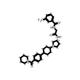 O=C(CNC(=O)c1cccc(C(F)(F)F)c1)N[C@@H]1CCN(C2CCC(c3ccc(C(=O)N4CCCCC4)cc3)CC2)C1